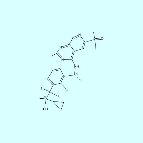 Cc1nc(N[C@H](C)c2cccc(C(F)(F)[C@@](C)(O)C3CC3)c2F)c2cc(P(C)(C)=O)ncc2n1